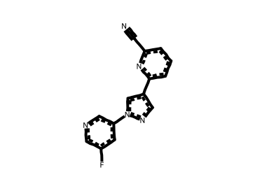 N#Cc1cccc(-c2cnn(-c3cncc(F)c3)c2)n1